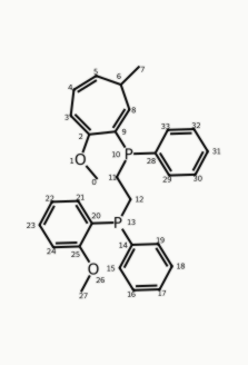 COC1=CC=CC(C)C=C1P(CCP(c1ccccc1)c1ccccc1OC)c1ccccc1